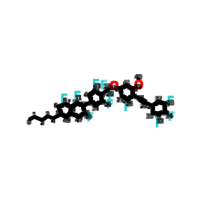 CCCCCc1cc(F)c2c(F)c(-c3cc(F)c(C(F)(F)Oc4cc(F)c(C#Cc5cc(F)c(F)c(F)c5)c(OC)c4)c(F)c3)c(F)cc2c1